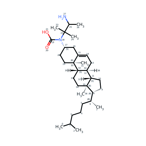 CC(C)CCC[C@@H](C)[C@H]1CC[C@H]2[C@@H]3CC=C4C[C@@H](N(C(=O)O)C(C)(C)C(C)N)CC[C@]4(C)[C@H]3CC[C@]12C